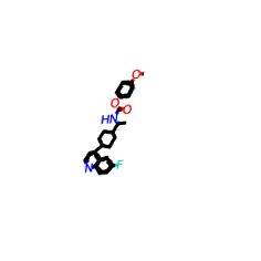 COc1ccc(OC(=O)NC(C)C2CCC(c3ccnc4ccc(F)cc34)CC2)cc1